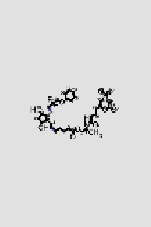 C[C@@H](COC(=O)CCC/C=C\C[C@@H]1[C@@H](/C=C/C(F)(F)COc2ccccc2)[C@H](O)C[C@@H]1O)NC(=O)CCCC(CO[N+](=O)[O-])O[N+](=O)[O-]